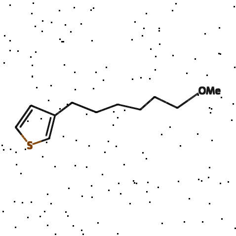 COCCCCCCc1ccsc1